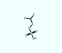 O=S(=O)(O)OSC(F)F